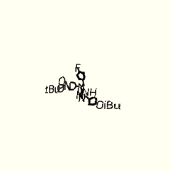 CC(C)COc1ccc(-c2nnc(N(Cc3ccc(F)cc3)C3CCN(C(=O)OC(C)(C)C)CC3)[nH]2)cc1